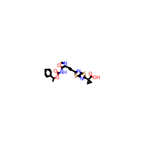 CC(OC(=O)Nc1ocnc1C#Cc1nc2sc(C3(C(=O)O)CC3)nc2s1)c1ccccc1